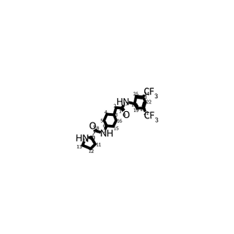 O=C(CC1CCC(NC(=O)[C@@H]2CCCN2)CC1)Nc1cc(C(F)(F)F)cc(C(F)(F)F)c1